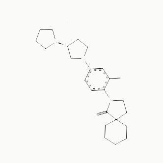 C[C@H]1CCCN1[C@H]1CCN(c2ccc(N3CCC4(CCCCC4)C3=O)c(F)c2)C1